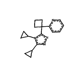 c1ccc(C2(c3nnc(C4CC4)n3C3CC3)CCC2)nc1